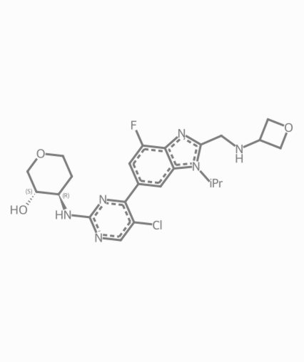 CC(C)n1c(CNC2COC2)nc2c(F)cc(-c3nc(N[C@@H]4CCOC[C@H]4O)ncc3Cl)cc21